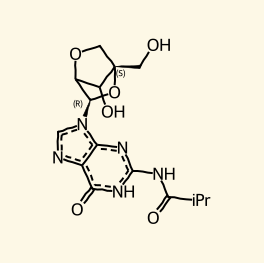 CC(C)C(=O)Nc1nc2c(ncn2[C@@H]2O[C@@]3(CO)COC2C3O)c(=O)[nH]1